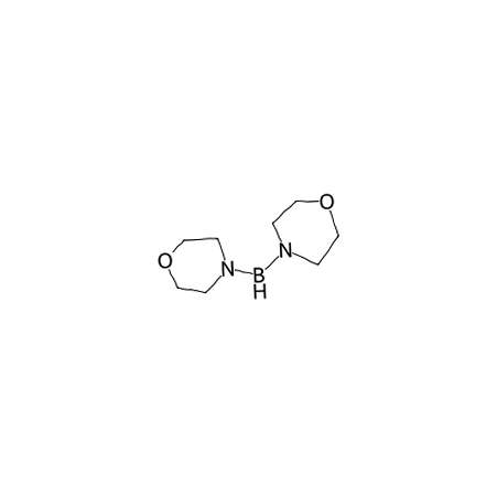 B(N1CCOCC1)N1CCOCC1